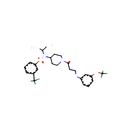 CC(C)N(C1CCN(C(=O)CCNc2cccc(OC(F)(F)F)c2)CC1)S(=O)(=O)c1cccc(C(F)(F)F)c1